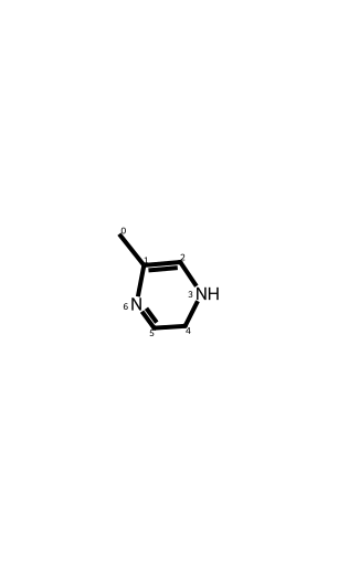 CC1=CNCC=N1